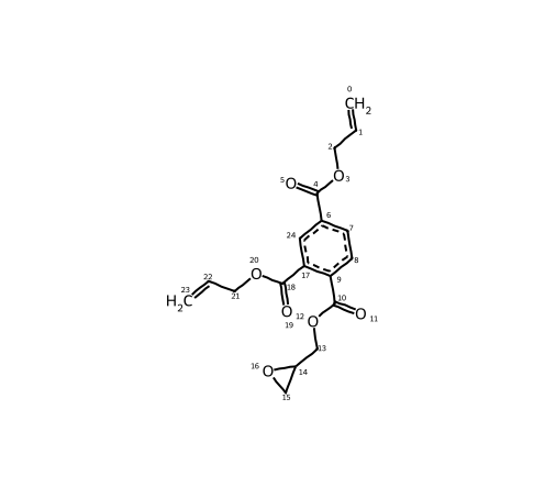 C=CCOC(=O)c1ccc(C(=O)OCC2CO2)c(C(=O)OCC=C)c1